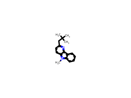 Cn1c2ccccc2c2nc(CC(C)(C)C)ccc21